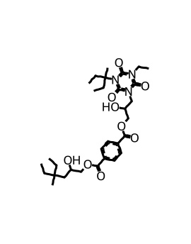 CCn1c(=O)n(CC(O)COC(=O)c2ccc(C(=O)OCC(O)CC(C)(CC)CC)cc2)c(=O)n(C(C)(CC)CC)c1=O